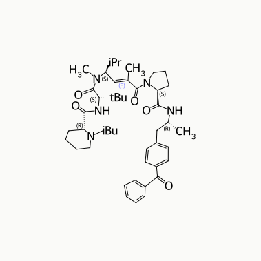 CCC(C)N1CCCC[C@@H]1C(=O)N[C@H](C(=O)N(C)[C@H](/C=C(\C)C(=O)N1CCC[C@H]1C(=O)N[C@H](C)Cc1ccc(C(=O)c2ccccc2)cc1)C(C)C)C(C)(C)C